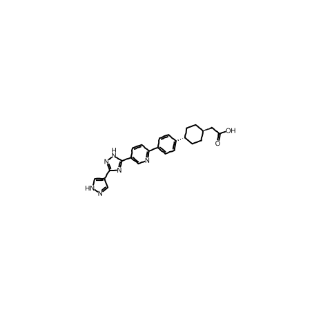 O=C(O)C[C@H]1CC[C@H](c2ccc(-c3ccc(-c4nc(-c5cn[nH]c5)n[nH]4)cn3)cc2)CC1